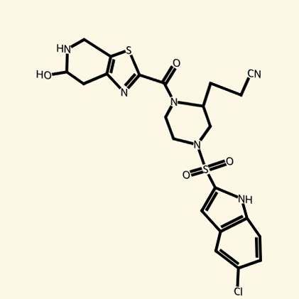 N#CCCC1CN(S(=O)(=O)c2cc3cc(Cl)ccc3[nH]2)CCN1C(=O)c1nc2c(s1)CNC(O)C2